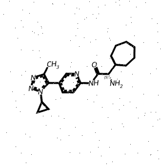 Cc1nnn(C2CC2)c1-c1ccc(NC(=O)[C@@H](N)C2CCCCCC2)nc1